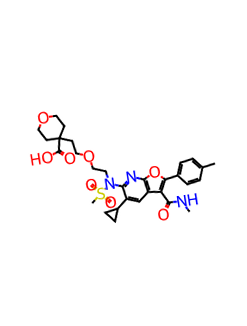 CNC(=O)c1c(-c2ccc(C)cc2)oc2nc(N(CCOCCC3(C(=O)O)CCOCC3)S(C)(=O)=O)c(C3CC3)cc12